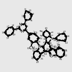 N#Cc1cc(-c2cc(-c3ccccc3)nc(-c3ccccc3)n2)ccc1-n1c2ccccc2c2c3oc4ccccc4c3c3c(c4ccccc4n3-c3ccccc3)c21